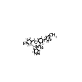 Cn1cc(-c2ccc(OCc3ccc(F)cc3)c(C(=O)Nc3ccnnc3)c2)cn1